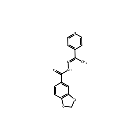 C/C(=N\NC(=O)c1ccc2c(c1)OCO2)c1ccncc1